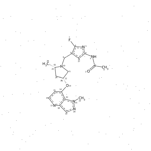 CC(=O)Nc1nc(F)c(CN2C[C@H](Oc3ccnc4cnn(C)c34)C[C@@H]2C)s1